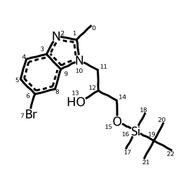 Cc1nc2ccc(Br)cc2n1CC(O)CO[Si](C)(C)C(C)(C)C